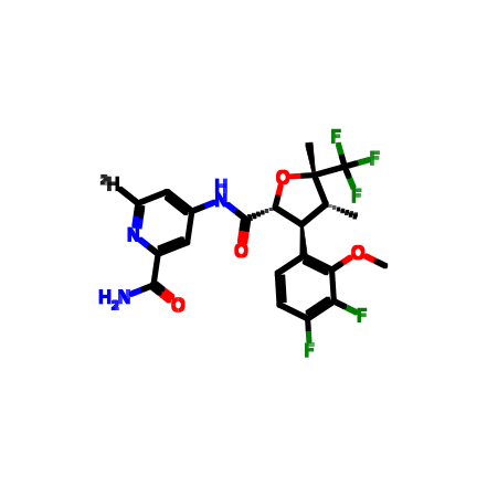 [2H]c1cc(NC(=O)[C@@H]2O[C@](C)(C(F)(F)F)[C@H](C)[C@H]2c2ccc(F)c(F)c2OC)cc(C(N)=O)n1